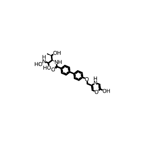 C[C@@H](O)[C@H](NC(=O)c1ccc(-c2ccc(OCC3=COC(O)=CN3)cc2)cc1)C(O)NO